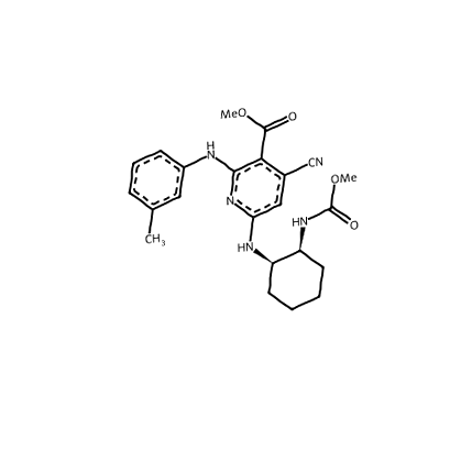 COC(=O)N[C@H]1CCCC[C@H]1Nc1cc(C#N)c(C(=O)OC)c(Nc2cccc(C)c2)n1